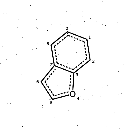 [c]1ccc2o[c]cc2c1